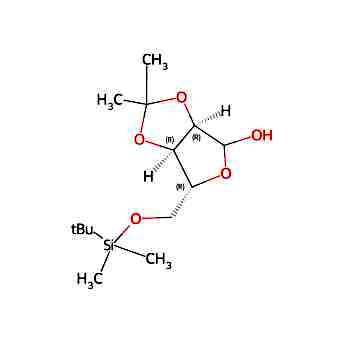 CC1(C)O[C@@H]2[C@@H](CO[Si](C)(C)C(C)(C)C)OC(O)[C@@H]2O1